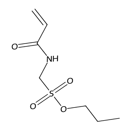 C=CC(=O)NCS(=O)(=O)OCCC